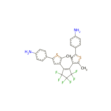 Cc1sc(-c2ccc(N)cc2)cc1C1=C(c2cc(-c3ccc(N)cc3)sc2C)C(F)(F)C(F)(F)C1(F)F